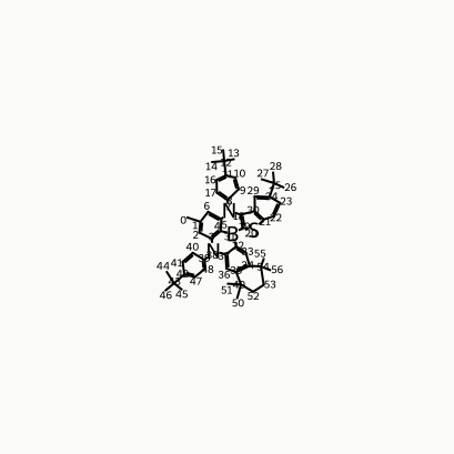 Cc1cc2c3c(c1)N(c1ccc(C(C)(C)C)cc1)c1c(sc4ccc(C(C)(C)C)cc14)B3c1cc3c(cc1N2c1ccc(C(C)(C)C)cc1)C(C)(C)CCC3(C)C